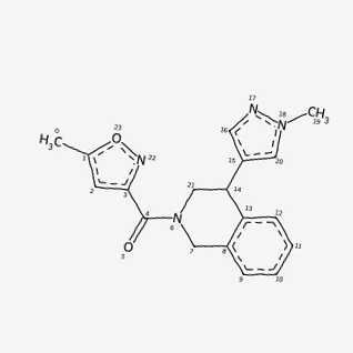 Cc1cc(C(=O)N2Cc3ccccc3C(c3cnn(C)c3)C2)no1